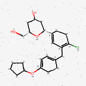 OC[C@@H]1CC(O)C[C@H](C2=CC(CC3=CC=C(OC4CCCC4)CC3)=C(Cl)CC2)O1